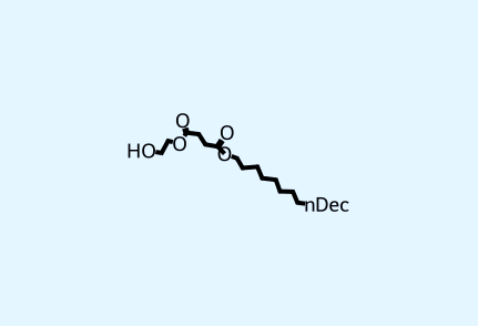 CCCCCCCCCCCCCCCCCCOC(=O)CCC(=O)OCCO